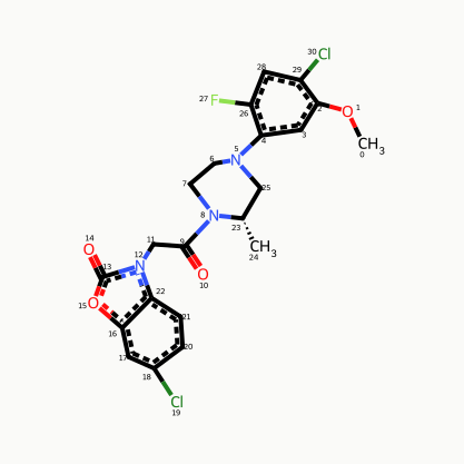 COc1cc(N2CCN(C(=O)Cn3c(=O)oc4cc(Cl)ccc43)[C@@H](C)C2)c(F)cc1Cl